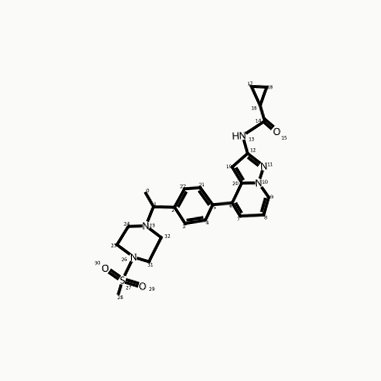 CC(c1ccc(-c2cccn3nc(NC(=O)C4CC4)cc23)cc1)N1CCN(S(C)(=O)=O)CC1